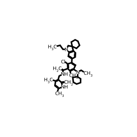 C=C1NC(C)=CC(C)=C1CNC(=C)c1c(C)c(N(CC)C2CCCCC2)cc(-c2ccc3c(c2)N(CCC)CC32CCCCC2)c1Cl